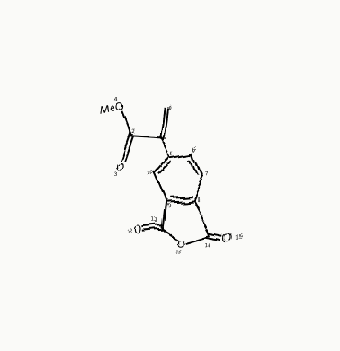 C=C(C(=O)OC)c1ccc2c(c1)C(=O)OC2=O